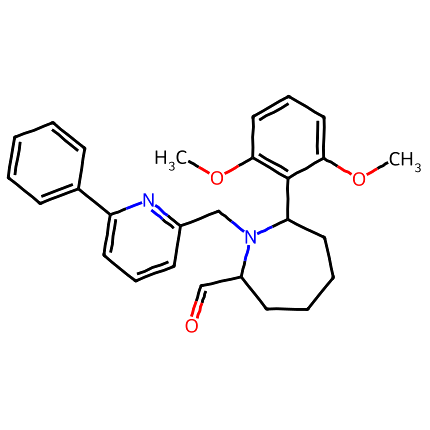 COc1cccc(OC)c1C1CCCCC(C=O)N1Cc1cccc(-c2ccccc2)n1